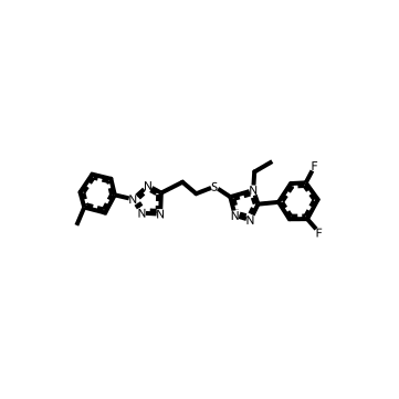 CCn1c(SCCc2nnn(-c3cccc(C)c3)n2)nnc1-c1cc(F)cc(F)c1